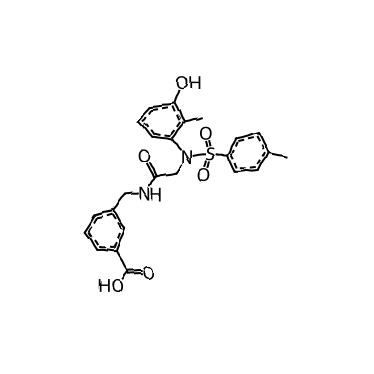 Cc1ccc(S(=O)(=O)N(CC(=O)NCc2cccc(C(=O)O)c2)c2cccc(O)c2C)cc1